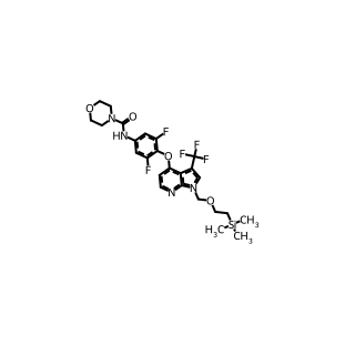 C[Si](C)(C)CCOCn1cc(C(F)(F)F)c2c(Oc3c(F)cc(NC(=O)N4CCOCC4)cc3F)ccnc21